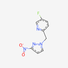 O=[N+]([O-])c1ccn(Cc2ccc(F)cn2)n1